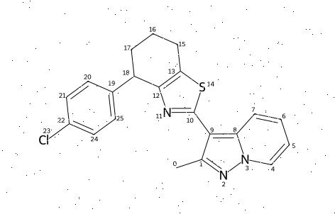 Cc1nn2ccccc2c1-c1nc2c(s1)CCCC2c1ccc(Cl)cc1